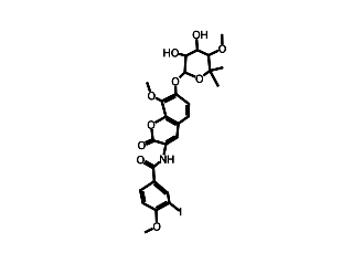 COc1ccc(C(=O)Nc2cc3ccc(OC4OC(C)(C)C(OC)C(O)C4O)c(OC)c3oc2=O)cc1I